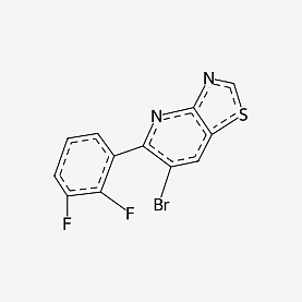 Fc1cccc(-c2nc3ncsc3cc2Br)c1F